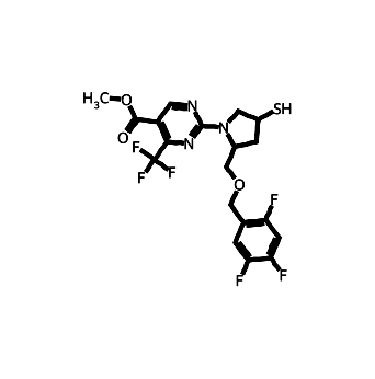 COC(=O)c1cnc(N2CC(S)CC2COCc2cc(F)c(F)cc2F)nc1C(F)(F)F